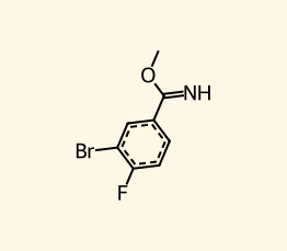 COC(=N)c1ccc(F)c(Br)c1